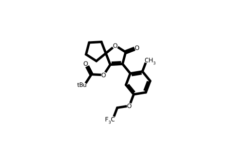 Cc1ccc(OCC(F)(F)F)cc1C1=C(OC(=O)C(C)(C)C)C2(CCCC2)OC1=O